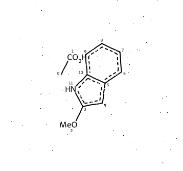 CC(=O)O.COc1cc2ccccc2[nH]1